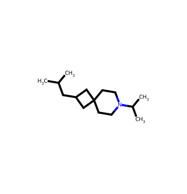 CC(C)CC1CC2(CCN(C(C)C)CC2)C1